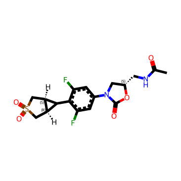 CC(=O)NC[C@H]1CN(c2cc(F)c(C3[C@H]4CS(=O)(=O)C[C@@H]34)c(F)c2)C(=O)O1